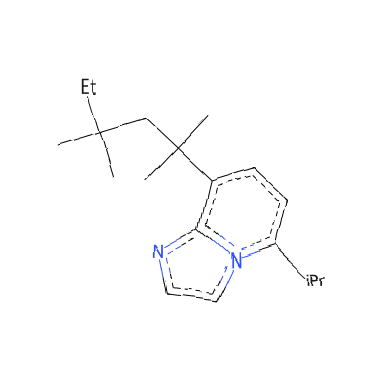 CCC(C)(C)CC(C)(C)c1ccc(C(C)C)n2ccnc12